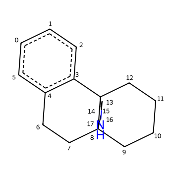 c1ccc2c(c1)CCC13CCCCC21CCNC3